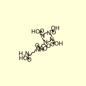 N[C@@H](CCCCNC(=O)CCC(C(=O)O)N1CCN(CC(=O)O)CCN(CC(=O)O)CCN(CC(=O)O)CC1)C(=O)O